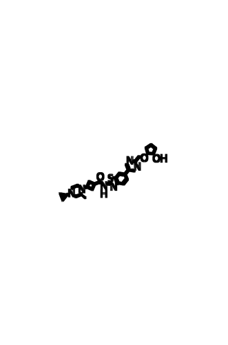 C[C@H]1CN(C2CC2)CCN1C1CC(C(=O)Nc2nc3ccc(-c4cnc(CO[C@H]5CCC[C@@H]5O)nc4)cc3s2)C1